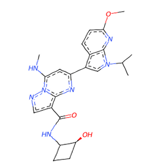 CNc1cc(-c2cn(C(C)C)c3nc(OC)ccc23)nc2c(C(=O)NC3CC[C@@H]3O)cnn12